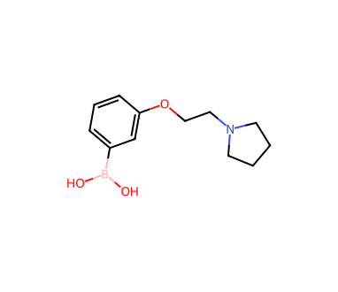 OB(O)c1cccc(OCCN2CCCC2)c1